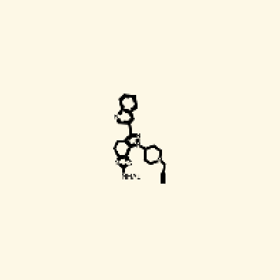 C#CCN1CCC(n2nc(-c3cnc4ccccc4c3)c3c2-c2sc(NC(C)=O)nc2CC3)CC1